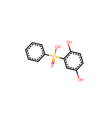 O=P(O)(c1ccccc1)c1cc(O)ccc1O